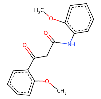 COc1ccccc1NC(=O)CC(=O)c1ccccc1OC